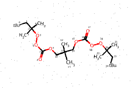 CC(C)(C)CC(C)(C)OOC(=O)OCC(C)(C)COC(=O)OOC(C)(C)CC(C)(C)C